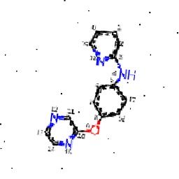 c1ccc(Nc2ccc(Oc3cnccn3)cc2)nc1